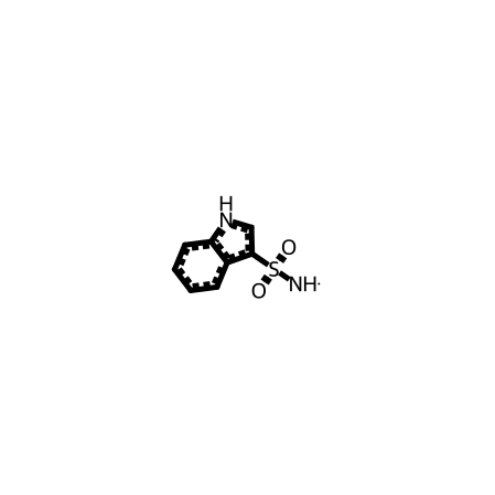 [NH]S(=O)(=O)c1c[nH]c2ccccc12